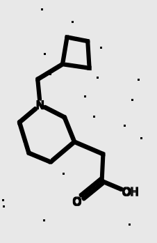 O=C(O)CC1CCCN(CC2CCC2)C1